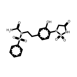 NC(=O)N(CCc1ccc(N2CC(=O)NS2(=O)=O)c(O)c1)S(=O)(=O)c1ccccc1